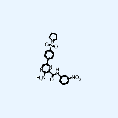 Nc1ncc(-c2ccc(S(=O)(=O)N3CCCC3)cc2)nc1C(=O)Nc1cccc([N+](=O)[O-])c1